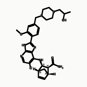 COc1cc(CN2CCN(CC(C)O)CC2)ccc1-c1nc2c(N[C@H]3[C@@H](C(N)=O)[C@@H]4C=C[C@H]3C4)c(Cl)cnc2[nH]1